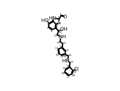 O=CC1Nc2c(O)ccc([C@@H](O)CNCCc3cccc(CNCc4ccccc4Cl)c3)c2S1